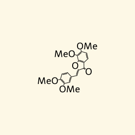 COc1ccc(/C=C2\Oc3c(ccc(OC)c3OC)C2=O)cc1OC